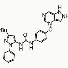 CC(C)(C)c1cc(NC(=O)Nc2ccc(ON3C=NC=C4NNC=C43)cc2)n(-c2ccccc2)n1